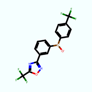 [O-][S+](c1ccc(C(F)(F)F)cc1)c1cccc(-c2noc(C(F)(F)F)n2)c1